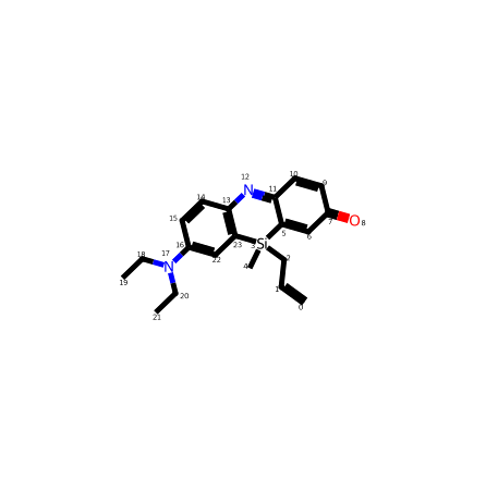 C=CC[Si]1(C)C2=CC(=O)C=CC2=Nc2ccc(N(CC)CC)cc21